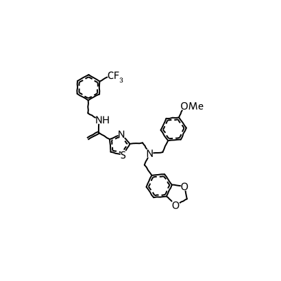 C=C(NCc1cccc(C(F)(F)F)c1)c1csc(CN(Cc2ccc(OC)cc2)Cc2ccc3c(c2)OCO3)n1